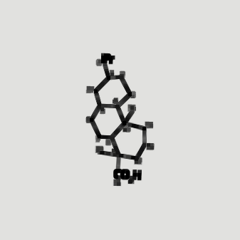 CC(C)C1CCC2C(CCC3C(C)(C(=O)O)CCCC23C)C1